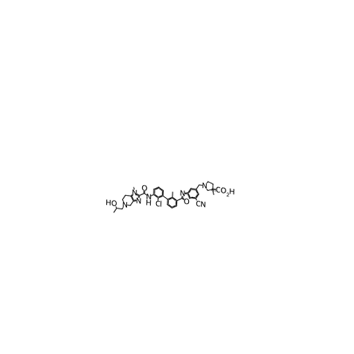 Cc1c(-c2nc3cc(CN4CC[C@@](C)(C(=O)O)C4)cc(C#N)c3o2)cccc1-c1cccc(NC(=O)c2nc3c(n2C)CCN(CC(C)O)C3)c1Cl